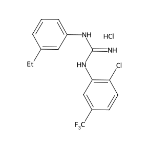 CCc1cccc(NC(=N)Nc2cc(C(F)(F)F)ccc2Cl)c1.Cl